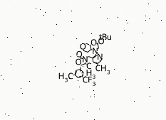 Cc1cc([C@H]2OC(=O)N(Cc3cc(C)cnc3N(CC(=O)OC(C)(C)C)C3CCOCC3)[C@H]2C)cc(C(F)(F)F)c1